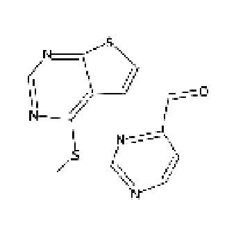 CSc1ncnc2sccc12.O=Cc1ccncn1